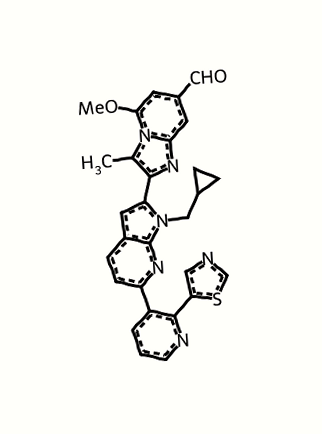 COc1cc(C=O)cc2nc(-c3cc4ccc(-c5cccnc5-c5cncs5)nc4n3CC3CC3)c(C)n12